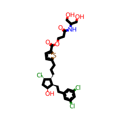 O=C(CCOC(=O)c1ccc(CCC[C@@H]2[C@@H](CCc3cc(Cl)cc(Cl)c3)[C@H](O)C[C@@H]2Cl)s1)NC(CO)CO